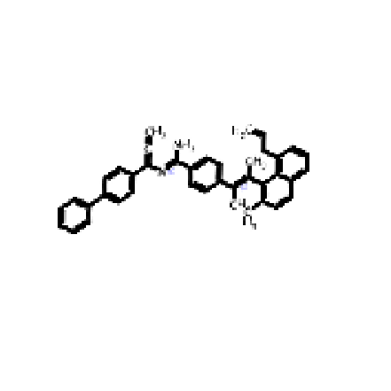 C=C=C(/N=C(\N)c1ccc(/C(C)=C(\C)c2c(C)ccc3cccc(CC=C)c23)cc1)c1ccc(-c2ccccc2)cc1